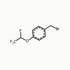 FC(Oc1ccc(CBr)cc1)C(F)(F)F